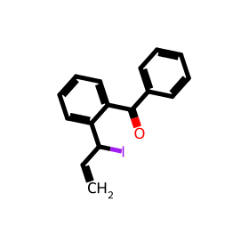 C=CC(I)c1ccccc1C(=O)c1ccccc1